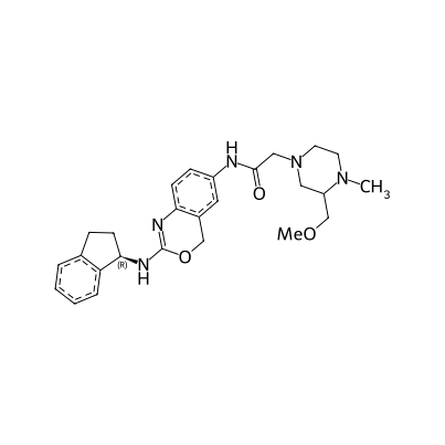 COCC1CN(CC(=O)Nc2ccc3c(c2)COC(N[C@@H]2CCc4ccccc42)=N3)CCN1C